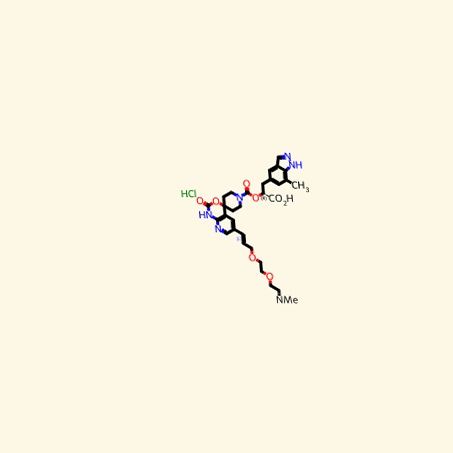 CNCCOCCOC/C=C/c1cnc2c(c1)C1(CCN(C(=O)O[C@H](Cc3cc(C)c4[nH]ncc4c3)C(=O)O)CC1)OC(=O)N2.Cl